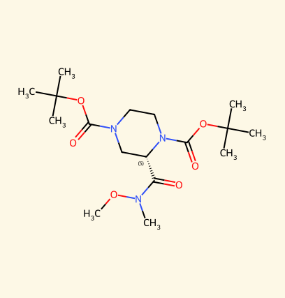 CON(C)C(=O)[C@@H]1CN(C(=O)OC(C)(C)C)CCN1C(=O)OC(C)(C)C